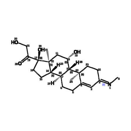 C/N=C1/C=C2CC[C@@H]3[C@H]([C@@H](O)C[C@@]4(C)[C@H]3CC[C@]4(O)C(=O)CO)[C@@]2(C)CC1